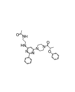 CC(=O)NCCNc1cc(N2CCN(C(=O)C(C)Oc3ccccc3)CC2)nc(-c2ccccc2)n1